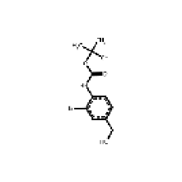 CC(C)(C)OC(=O)Nc1ccc(CO)cc1Br